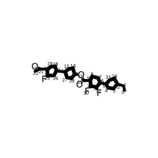 CCc1ccc(-c2ccc(C(=O)Oc3ccc(-c4ccc(C5CO5)c(F)c4)cc3)c(F)c2F)cc1